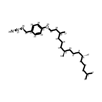 CC(C)CCC[C@@H](C)CCC[C@@H](C)CCCC(C)CCOc1ccc(CN=[N+]=[N-])cc1